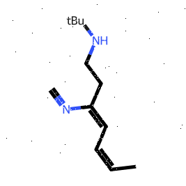 C=N/C(=C\C=C/C)CCNC(C)(C)C